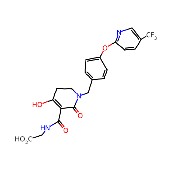 O=C(O)CNC(=O)C1=C(O)CCN(Cc2ccc(Oc3ccc(C(F)(F)F)cn3)cc2)C1=O